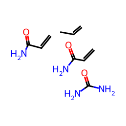 C=CC.C=CC(N)=O.C=CC(N)=O.NC(N)=O